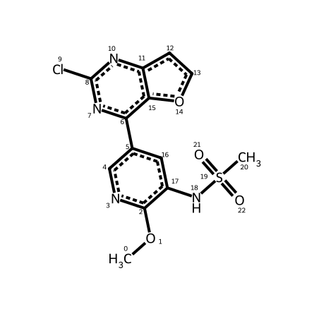 COc1ncc(-c2nc(Cl)nc3ccoc23)cc1NS(C)(=O)=O